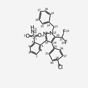 NS(=O)(=O)c1ccccc1-c1nn(Cc2ccccc2)c(C(F)F)c1-c1ccc(Cl)cc1